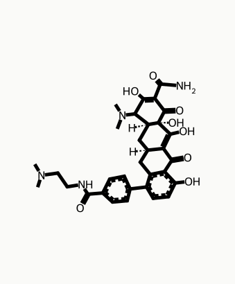 CN(C)CCNC(=O)c1ccc(-c2ccc(O)c3c2C[C@H]2C[C@H]4C(N(C)C)C(O)=C(C(N)=O)C(=O)[C@@]4(O)C(O)=C2C3=O)cc1